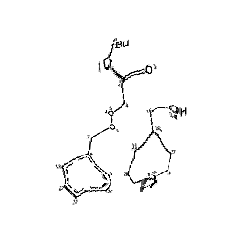 CC(C)(C)OC(=O)C[2O]OCc1ccccc1.OCC1CCNCC1